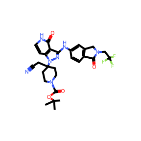 CC(C)(C)OC(=O)N1CCC(CC#N)(n2nc(Nc3ccc4c(c3)CN(CC(F)(F)F)C4=O)c3c(=O)[nH]ccc32)CC1